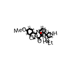 CCO[C@H]1CNC[C@]1(Nc1c(CC)nc(-c2ccc(OC)cc2Cl)n(C)c1=O)c1nccs1